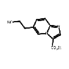 CCOC(=O)c1cnc2ccc(CCC#N)cn12